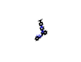 CC(C)C1CCC(N2CCC(n3cc(CNCc4ccccc4)c4ccccc43)CC2)CC1